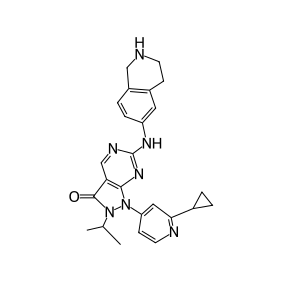 CC(C)n1c(=O)c2cnc(Nc3ccc4c(c3)CCNC4)nc2n1-c1ccnc(C2CC2)c1